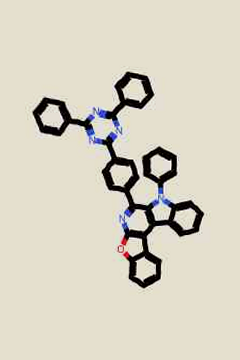 c1ccc(-c2nc(-c3ccccc3)nc(-c3ccc(-c4nc5oc6ccccc6c5c5c6ccccc6n(-c6ccccc6)c45)cc3)n2)cc1